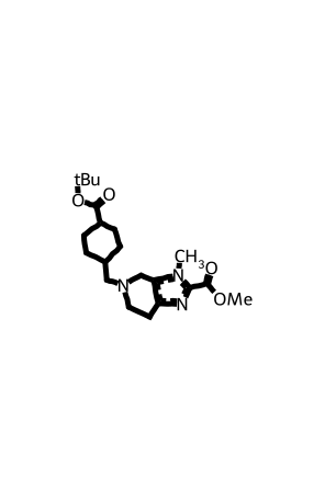 COC(=O)c1nc2c(n1C)CN(CC1CCC(C(=O)OC(C)(C)C)CC1)CC2